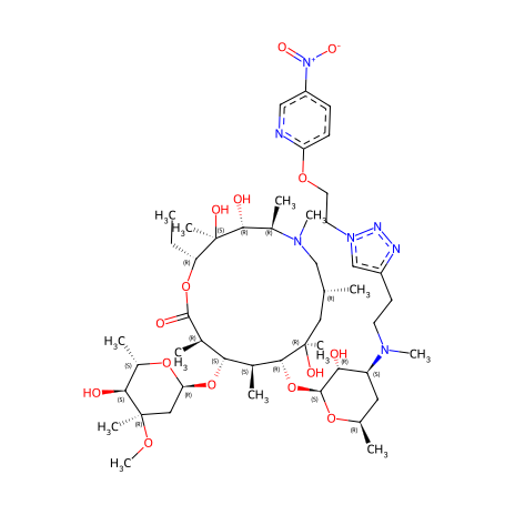 CC[C@H]1OC(=O)[C@H](C)[C@@H](O[C@H]2C[C@@](C)(OC)[C@@H](O)[C@H](C)O2)[C@H](C)[C@@H](O[C@@H]2O[C@H](C)C[C@H](N(C)CCc3cn(CCOc4ccc([N+](=O)[O-])cn4)nn3)[C@H]2O)[C@](C)(O)C[C@@H](C)CN(C)[C@H](C)[C@@H](O)[C@]1(C)O